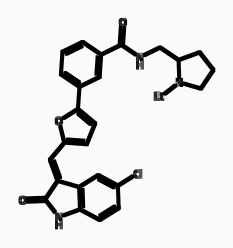 CCN1CCCC1CNC(=O)c1cccc(-c2ccc(/C=C3/C(=O)Nc4ccc(Cl)cc43)o2)c1